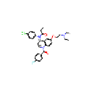 CCC(=O)N(c1ccc(Cl)cc1)[C@H]1C[C@@H](C)N(C(=O)c2ccc(F)cc2)c2ccc(OCCN(CC)CC)cc21